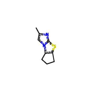 Cc1cn2c3c(sc2n1)CCC3